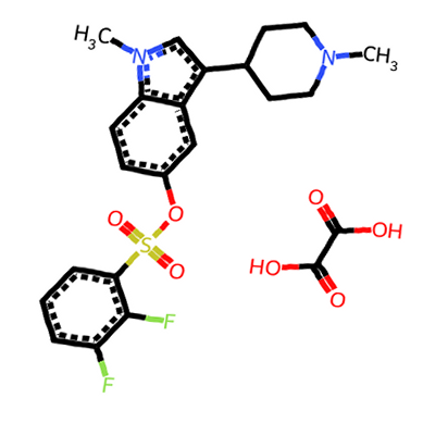 CN1CCC(c2cn(C)c3ccc(OS(=O)(=O)c4cccc(F)c4F)cc23)CC1.O=C(O)C(=O)O